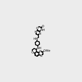 COc1cnc2ccc3c(c2n1)C(NC1CCC(NCc2cnc4c(n2)NC(=O)CO4)CC1)CCO3